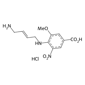 COc1cc(C(=O)O)cc([N+](=O)[O-])c1NC/C=C/CN.Cl